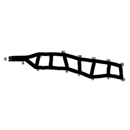 S=C1C2C1C1C2C2C3C4C5CCC5C4C3C12